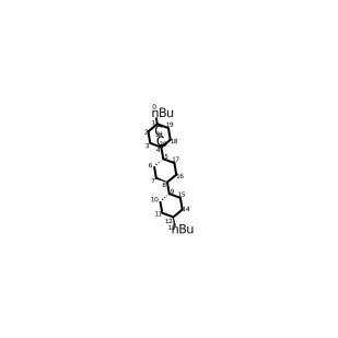 CCCCC12CCC([C@H]3CC[C@H]([C@H]4CC[C@H](CCCC)CC4)CC3)(CC1)CC2